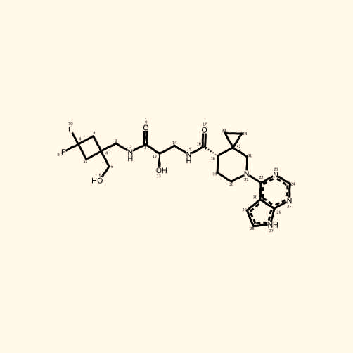 O=C(NCC1(CO)CC(F)(F)C1)[C@H](O)CNC(=O)[C@H]1CCN(c2ncnc3[nH]ccc23)CC12CC2